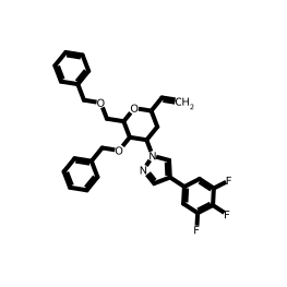 C=CC1CC(n2cc(-c3cc(F)c(F)c(F)c3)cn2)C(OCc2ccccc2)C(COCc2ccccc2)O1